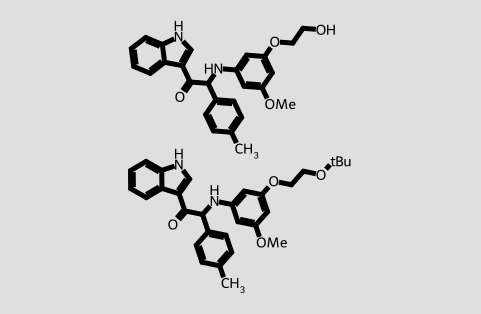 COc1cc(NC(C(=O)c2c[nH]c3ccccc23)c2ccc(C)cc2)cc(OCCO)c1.COc1cc(NC(C(=O)c2c[nH]c3ccccc23)c2ccc(C)cc2)cc(OCCOC(C)(C)C)c1